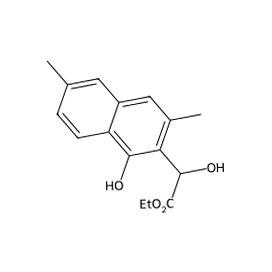 CCOC(=O)C(O)c1c(C)cc2cc(C)ccc2c1O